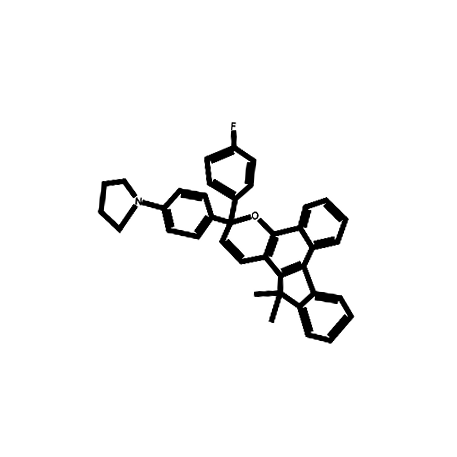 CC1(C)c2ccccc2-c2c1c1c(c3ccccc23)OC(c2ccc(F)cc2)(c2ccc(N3CCCC3)cc2)C=C1